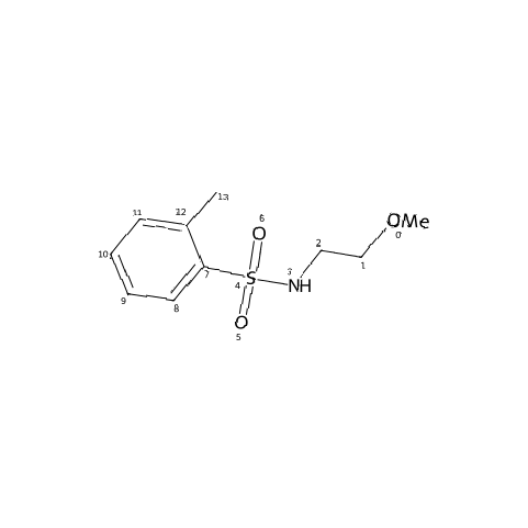 COCCNS(=O)(=O)c1cc[c]cc1C